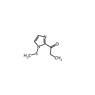 CCC(=O)c1nccn1SC